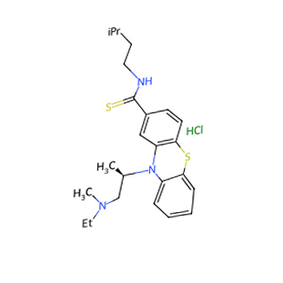 CCN(C)C[C@@H](C)N1c2ccccc2Sc2ccc(C(=S)NCCC(C)C)cc21.Cl